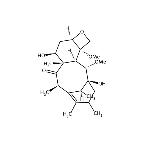 CO[C@H]1[C@@H]2[C@]3(OC)CO[C@@H]3C[C@H](O)[C@@]2(C)C(=O)[C@H](C)C2=C(C)C(C)C[C@]1(O)[C@H]2C